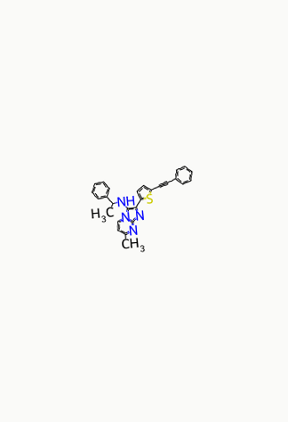 Cc1ccn2c(NC(C)c3ccccc3)c(-c3ccc(C#Cc4ccccc4)s3)nc2n1